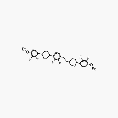 CCOc1ccc(C2CCC(CCc3ccc(C4CCC(c5ccc(OCC)c(F)c5F)CC4)c(F)c3F)CC2)c(F)c1F